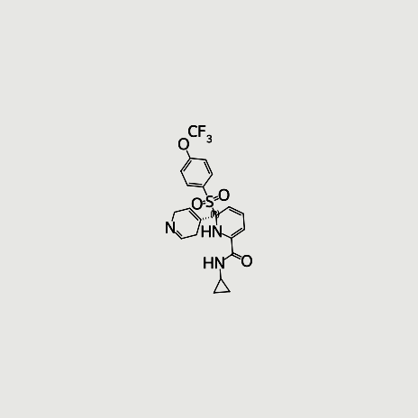 O=C(NC1CC1)C1=CC=C[C@](C2=CCN=CC2)(S(=O)(=O)c2ccc(OC(F)(F)F)cc2)N1